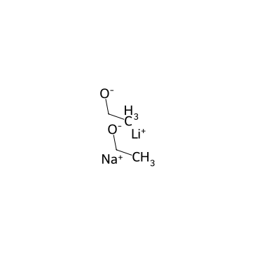 CC[O-].CC[O-].[Li+].[Na+]